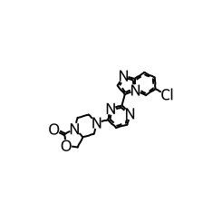 O=C1OCC2CN(c3ccnc(-c4cnc5ccc(Cl)cn45)n3)CCN12